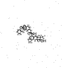 CC(C)(C)[C@H](Oc1cccc(C(CN2CCCC2)NC(=O)Cc2ccc3oc(=O)n(Cc4ccccc4)c3c2)c1)C(=O)O